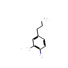 COCCc1ccc(N)c([N+](=O)[O-])c1